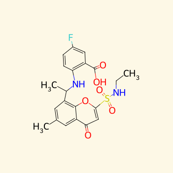 CCNS(=O)(=O)c1cc(=O)c2cc(C)cc(C(C)Nc3ccc(F)cc3C(=O)O)c2o1